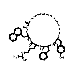 CN1CC(Cc2cccc3ccccc23)NC(=O)C(CCCNC(=N)N)NC(=O)C(Cc2ccccc2)NC(=O)C(Cc2ccc(O)cc2)CCCCCCCCCCCCC1=O